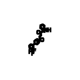 O=C(CCC(=O)N1CCC(c2cccc(C(F)(F)F)c2)CC1)c1c[nH]c2ccccc12